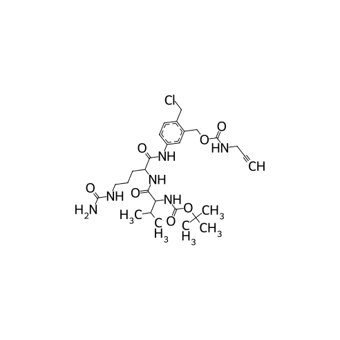 C#CCNC(=O)OCc1cc(NC(=O)C(CCCNC(N)=O)NC(=O)C(NC(=O)OC(C)(C)C)C(C)C)ccc1CCl